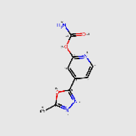 CC(C)c1nnc(-c2ccnc(OC(N)=O)c2)o1